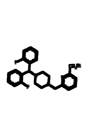 CCOC(=O)c1cccc(CN2CCN(C(c3ccccc3F)c3ccccc3F)CC2)n1